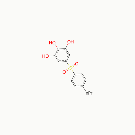 CCCc1ccc(S(=O)(=O)c2cc(O)c(O)c(O)c2)cc1